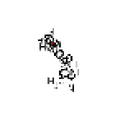 Cc1ccc(NS(=O)(=O)c2ccc(S(=O)(=O)N3C[C@H]4C[C@@H](C3)N4C(=O)O)cc2)c2[nH]cc(C#N)c12